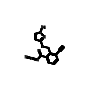 C#Cc1cccc(C(=O)N=[N+]=[N-])c1COc1ccn(S)n1